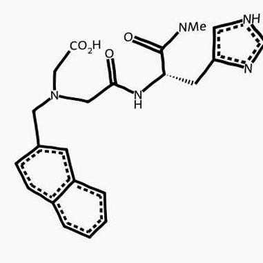 CNC(=O)[C@H](Cc1c[nH]cn1)NC(=O)CN(CC(=O)O)Cc1ccc2ccccc2c1